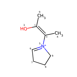 C/C(O)=C(\C)[N+]1=CCCC1